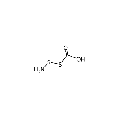 NSSC(=O)O